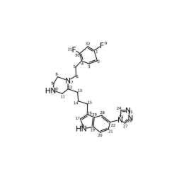 Fc1ccc(CCN2CCNCC2CCCc2c[nH]c3ccc(-n4cnnc4)cc23)c(F)c1